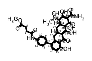 COC(=O)CCC(=O)Nc1ccc(-c2ccc(O)c3c2C[C@@H]2C[C@@H]4[C@@H](N(C)C)C(O)=C(C(N)=O)C(=O)[C@@]4(O)C(O)=C2C3=O)cc1